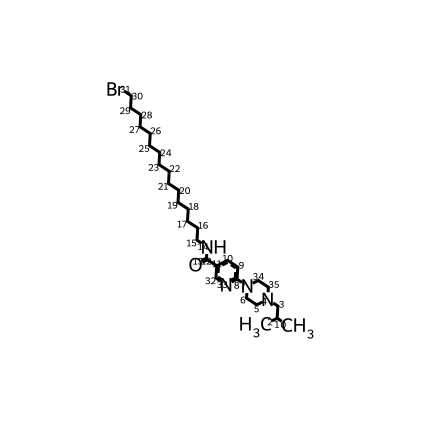 CC(C)CN1CCN(c2ccc(C(=O)NCCCCCCCCCCCCCCCCBr)cn2)CC1